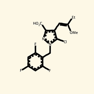 CCC(=Cc1c(C(=O)O)nn(Cc2c(F)cc(F)cc2F)c1Cl)OC